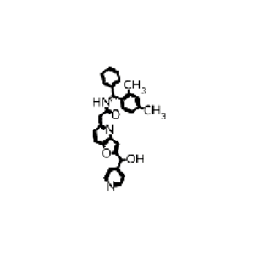 Cc1ccc([C@@H](NC(=O)Cc2ccc3oc(C(O)c4ccncc4)cc3n2)c2ccccc2)c(C)c1